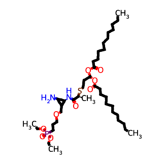 CCCCCCCCCCCC(=O)OC(CCS[C@H](C)C(=O)N[C@H]1C(N)C1COCCCP(=O)(OCC)OCC)OC(=O)CCCCCCCCCCC